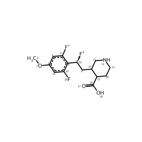 COc1cc(F)c([C@@H](F)CC2CNCCC2C(=O)O)c(F)c1